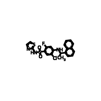 CC(Nc1cc(F)c(S(=O)(=O)Nc2nccs2)cc1Cl)c1cccc2ccccc12